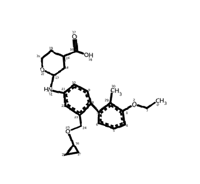 CCOc1cccc(-c2ccc(NC3CC(C(=O)O)CCO3)cc2COC2CC2)c1C